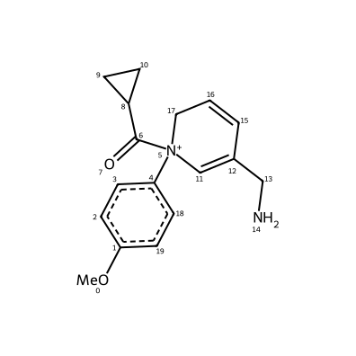 COc1ccc([N+]2(C(=O)C3CC3)C=C(CN)C=CC2)cc1